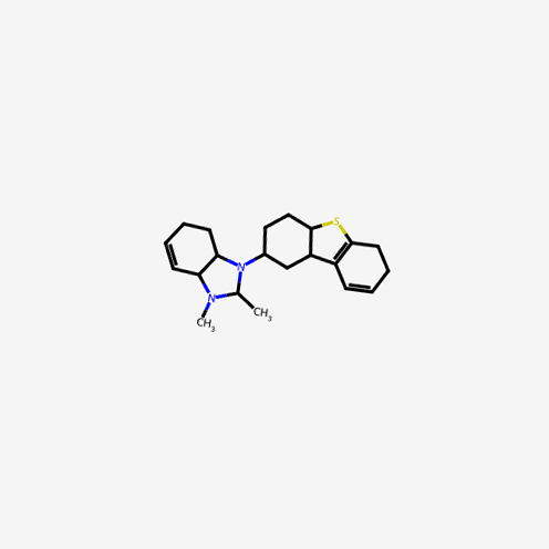 CC1N(C)C2C=CCCC2N1C1CCC2SC3=C(C=CCC3)C2C1